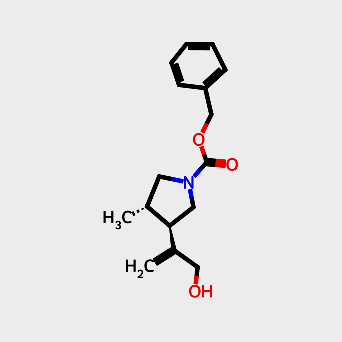 C=C(CO)[C@@H]1CN(C(=O)OCc2ccccc2)C[C@H]1C